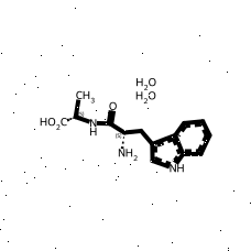 C[C@H](NC(=O)[C@@H](N)Cc1c[nH]c2ccccc12)C(=O)O.O.O